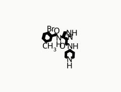 CC1C=CC(Br)=C(C(=O)Nc2c[nH]nc2C(=O)NC2CCNCC2)C1